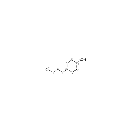 OC1CCN(CCCCl)CC1